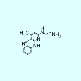 Cc1cc(NCCN)nc(Nc2ccccc2)c1C#N